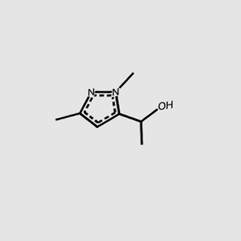 Cc1cc(C(C)O)n(C)n1